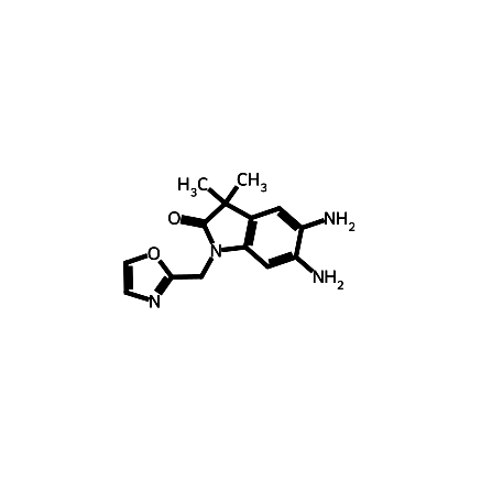 CC1(C)C(=O)N(Cc2ncco2)c2cc(N)c(N)cc21